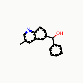 Cc1cnc2ccc(C(O)c3ccccc3)cc2c1